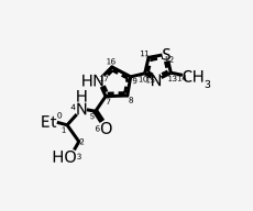 CCC(CO)NC(=O)c1cc(-c2csc(C)n2)c[nH]1